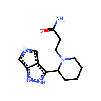 NC(=O)CCN1CCCCC1c1[nH][nH]c2cncc1-2